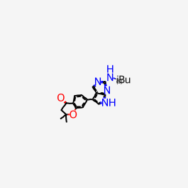 CC[C@H](C)Nc1ncc2c(-c3ccc4c(c3)OC(C)(C)CC4=O)c[nH]c2n1